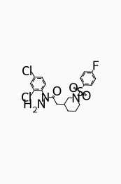 NN(C(=O)CC1CCCN(S(=O)(=O)c2ccc(F)cc2)C1)c1ccc(Cl)cc1Cl